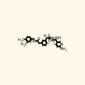 Cc1ccc(CNC(=O)Cc2cccc(CC(C)(C)NC[C@H](O)c3ccc(N)nc3)c2)cc1C